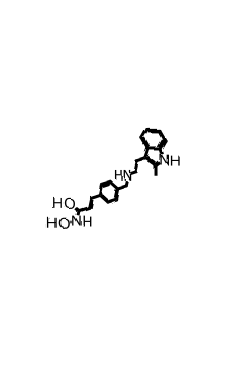 Cc1[nH]c2ccccc2c1CCNCc1ccc(/C=C/C(O)NO)cc1